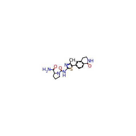 Cc1nc(NC(=O)N2CCCC2C(N)=O)sc1-c1ccc2c(c1)CCNC2=O